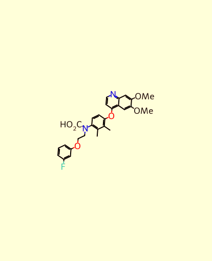 COc1cc2nccc(Oc3ccc(N(CCOc4cccc(F)c4)C(=O)O)c(C)c3C)c2cc1OC